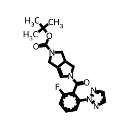 CC(C)(C)OC(=O)N1CC2=CN(C(=O)c3c(F)cccc3-n3nccn3)CC2C1